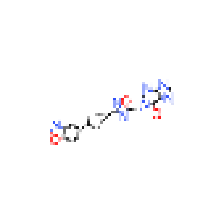 Cn1cnc2ncn(Cc3nc(C4C5C=C(c6ccc7ocnc7c6)CC54)no3)c(=O)c21